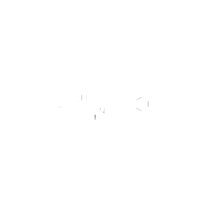 CC1(O)CC(C(=O)N2CC3(CC(Cc4ccc(C5CC5)cc4)C3)C2)C1